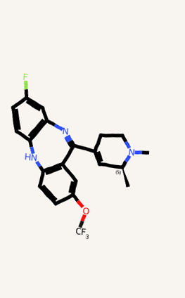 C[C@H]1C=C(C2=Nc3cc(F)ccc3Nc3ccc(OC(F)(F)F)cc32)CCN1C